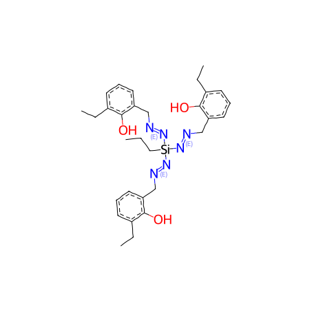 CCC[Si](/N=N/Cc1cccc(CC)c1O)(/N=N/Cc1cccc(CC)c1O)/N=N/Cc1cccc(CC)c1O